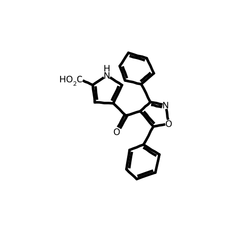 O=C(O)c1cc(C(=O)c2c(-c3ccccc3)noc2-c2ccccc2)c[nH]1